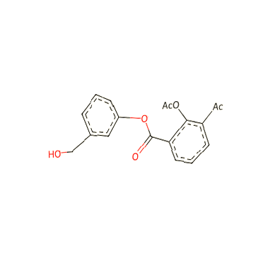 CC(=O)Oc1c(C(C)=O)cccc1C(=O)Oc1cccc(CO)c1